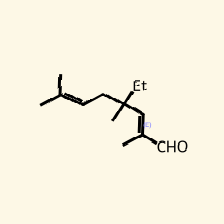 CCC(C)(/C=C(\C)C=O)CC=C(C)C